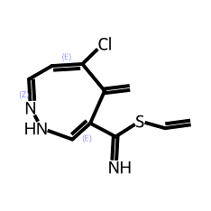 C=CSC(=N)/C1=C/N/N=C\C=C(\Cl)C1=C